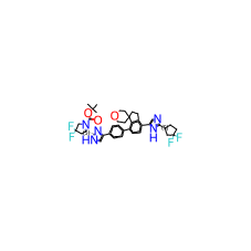 CC(C)(C)OC(=O)N1CC(F)(F)C[C@H]1c1nc(-c2ccc(-c3ccc(-c4cnc([C@H]5CCC(F)(F)C5)[nH]4)c4c3C3(CCOCC3)CC4)cc2)c[nH]1